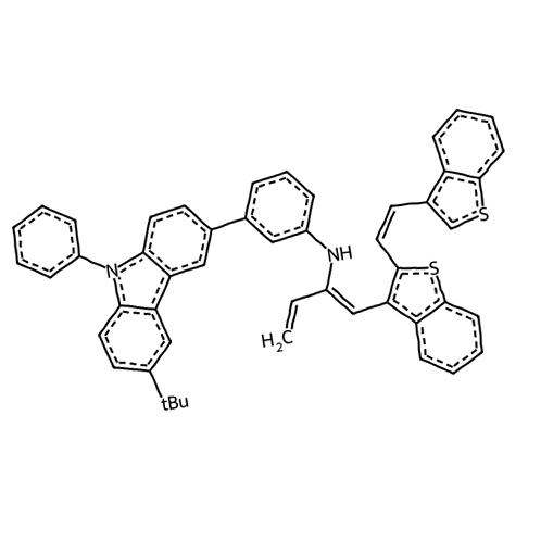 C=C/C(=C/c1c(/C=C\c2csc3ccccc23)sc2ccccc12)Nc1cccc(-c2ccc3c(c2)c2cc(C(C)(C)C)ccc2n3-c2ccccc2)c1